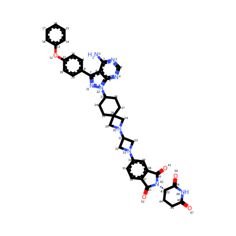 Nc1ncnc2c1c(-c1ccc(Oc3ccccc3)cc1)nn2C1CCC2(CC1)CN(C1CN(c3ccc4c(c3)C(=O)N([C@H]3CCC(=O)NC3=O)C4=O)C1)C2